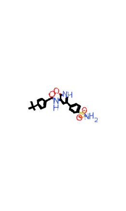 CC(C)(C)c1ccc(C(=O)Nc2cc(-c3ccc(S(N)(=O)=O)cc3)c[nH]c2=O)cc1